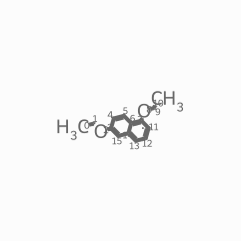 CCOc1ccc2c(OCC)[c]ccc2c1